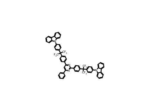 FC(F)(F)C(c1ccc(-c2cc(-c3ccccc3)nc(-c3ccc(C(c4ccc(-n5c6ccccc6c6ccccc65)cc4)(C(F)(F)F)C(F)(F)F)cc3)n2)cc1)(c1ccc(-n2c3ccccc3c3ccccc32)cc1)C(F)(F)F